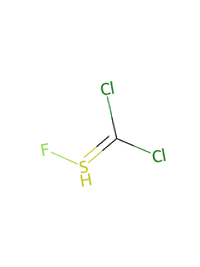 F[SH]=C(Cl)Cl